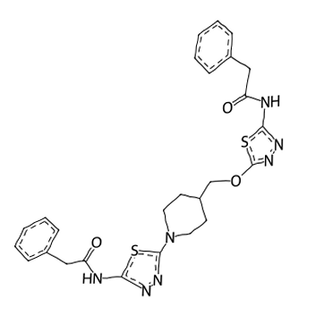 O=C(Cc1ccccc1)Nc1nnc(OCC2CCN(c3nnc(NC(=O)Cc4ccccc4)s3)CC2)s1